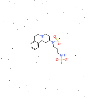 CS(=O)(=O)NCCCN(C1CCN2CCc3ccccc3C2C1)S(C)(=O)=O